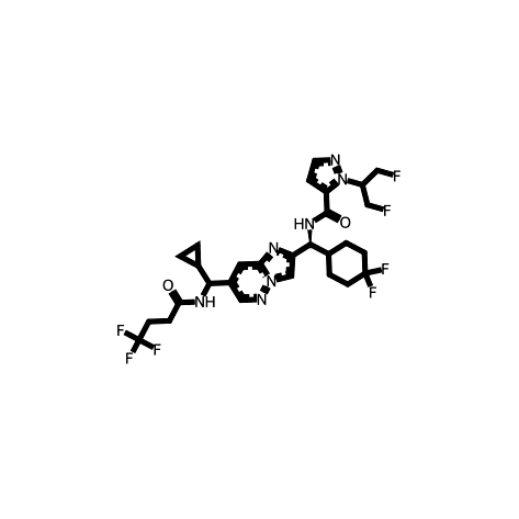 O=C(CCC(F)(F)F)NC(c1cnn2cc([C@@H](NC(=O)c3ccnn3C(CF)CF)C3CCC(F)(F)CC3)nc2c1)C1CC1